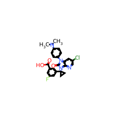 CN(C)c1ccc(-n2c(=O)n(C3(c4cc(F)cc(C(=O)O)c4)CC3)c3ncc(Cl)cc32)cc1